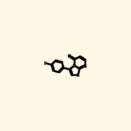 O=c1ccnc2scc(-c3ccc(F)cc3)n12